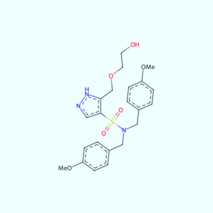 COc1ccc(CN(Cc2ccc(OC)cc2)S(=O)(=O)c2cn[nH]c2COCCO)cc1